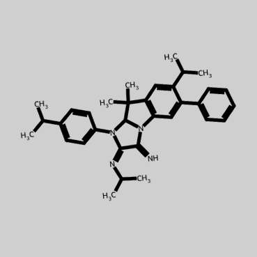 CC(C)/N=C1\C(=N)N2c3cc(-c4ccccc4)c(C(C)C)cc3C(C)(C)C2N1c1ccc(C(C)C)cc1